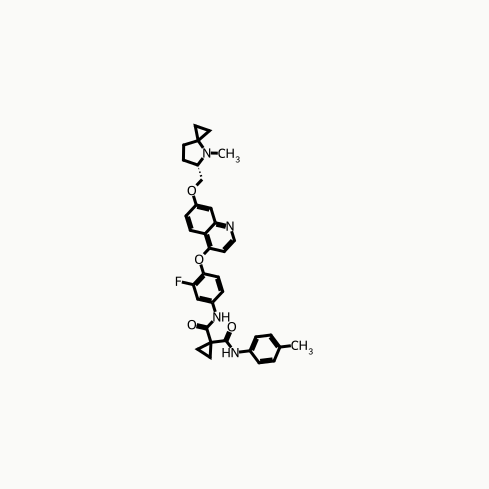 Cc1ccc(NC(=O)C2(C(=O)Nc3ccc(Oc4ccnc5cc(OC[C@@H]6CCC7(CC7)N6C)ccc45)c(F)c3)CC2)cc1